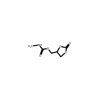 CNC(=O)OCC1COC(=O)O1